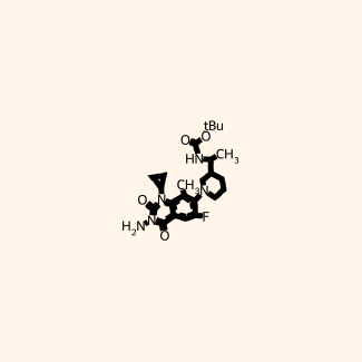 Cc1c(N2CCCC(C(C)NC(=O)OC(C)(C)C)C2)c(F)cc2c(=O)n(N)c(=O)n(C3CC3)c12